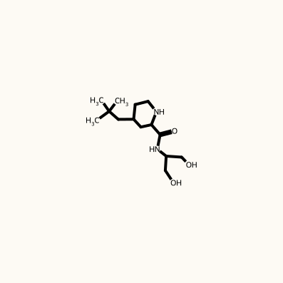 CC(C)(C)CC1CCNC(C(=O)NC(CO)CO)C1